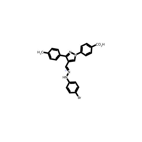 Cc1ccc(-c2nn(-c3ccc(C(=O)O)cc3)cc2/C=N/Nc2ccc(Br)cc2)cc1